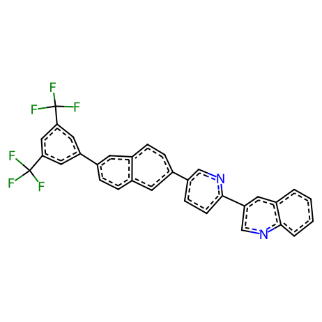 FC(F)(F)c1cc(-c2ccc3cc(-c4ccc(-c5cnc6ccccc6c5)nc4)ccc3c2)cc(C(F)(F)F)c1